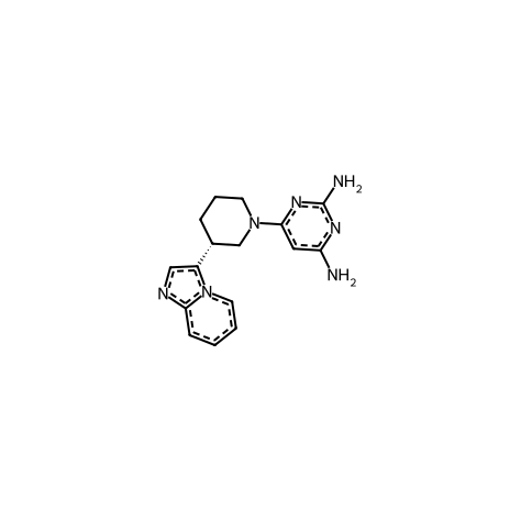 Nc1cc(N2CCC[C@@H](c3cnc4ccccn34)C2)nc(N)n1